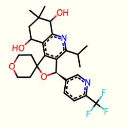 CC(C)c1nc2c(c3c1[C@@H](c1ccc(C(F)(F)F)nc1)OC31CCOCC1)C(O)CC(C)(C)C2O